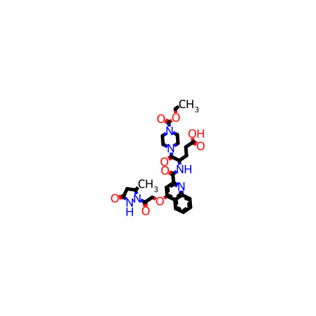 CCOC(=O)N1CCN(C(=O)C(CCC(=O)O)NC(=O)c2cc(OCC(=O)N3NC(=O)CC3C)c3ccccc3n2)CC1